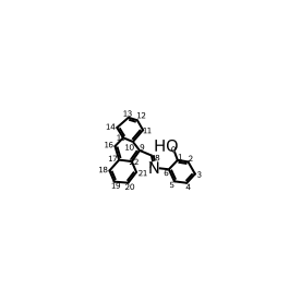 Oc1ccccc1/N=C/c1c2ccccc2cc2ccccc12